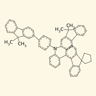 CC1(C)c2ccccc2-c2ccc(-c3ccc(N(c4ccc5c(c4)C(C)(C)c4ccccc4-5)c4ccccc4-c4cccc5c4-c4ccccc4C54CCCC4)cc3)cc21